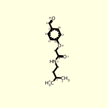 CC(C)CCNC(=O)COc1ccc(C=O)cc1